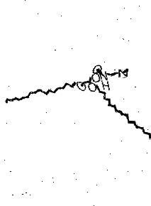 CCCCCCCCC=CCCCCCCCCOCC(COC(=O)NCCCN(C)C)OCCCCCCCCC=CCCCCCCCC